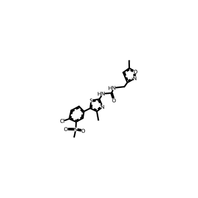 Cc1cc(CNC(=O)Nc2nc(C)c(-c3ccc(Cl)c(S(C)(=O)=O)c3)s2)no1